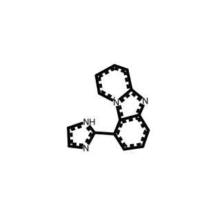 c1cc(-c2ncc[nH]2)c2c(c1)nc1ccccn12